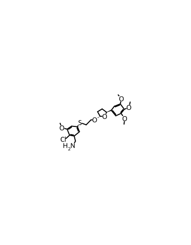 COc1cc(SCCO[C@@H]2CC[C@@H](c3cc(OC)c(OC)c(OC)c3)O2)cc(CN)c1Cl